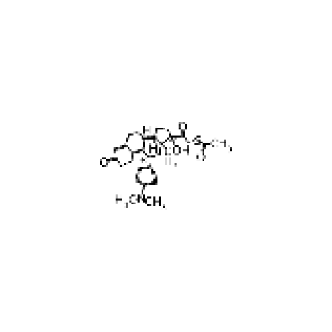 CC(=O)SCC(=O)[C@@]1(O)CC[C@H]2[C@@H]3CCC4=CC(=O)CCC4=C3[C@@H](c3ccc(N(C)C)cc3)C[C@@]21C